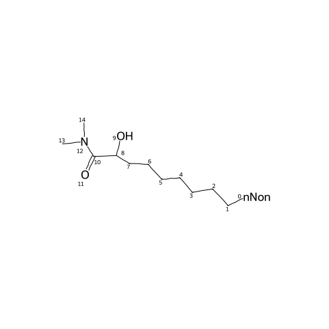 CCCCCCCCCCCCCCCCC(O)C(=O)N(C)C